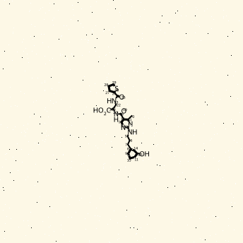 Cc1nc(NCCCc2cccc(O)c2)ncc1C(=O)NC(CNC(=O)c1cccs1)C(=O)O